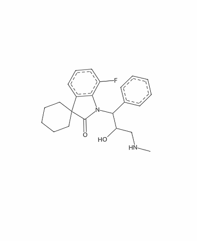 CNCC(O)C(c1ccccc1)N1C(=O)C2(CCCCC2)c2cccc(F)c21